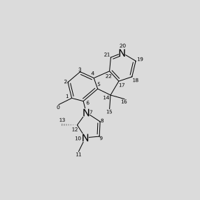 Cc1ccc2c(c1N1C=CN(C)[C@@H]1C)C(C)(C)c1ccncc1-2